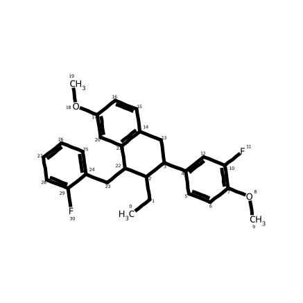 CCC1C(c2ccc(OC)c(F)c2)Cc2ccc(OC)cc2C1Cc1ccccc1F